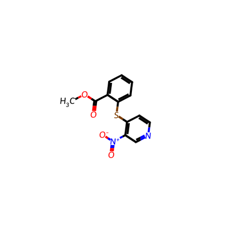 COC(=O)c1ccccc1Sc1ccncc1[N+](=O)[O-]